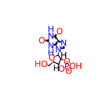 O=c1[nH]c(=O)c2ncn([C@@H]3O[C@H](CO)[C@H]4OP(=O)(O)O[C@H]43)c2[nH]1